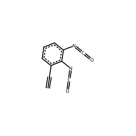 C#Cc1cccc(N=C=O)c1N=C=O